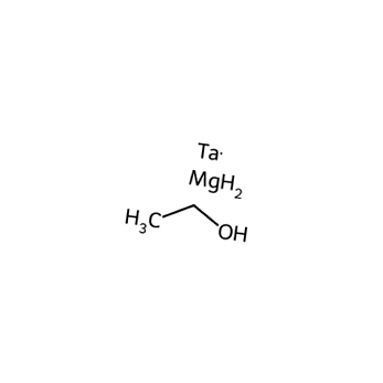 CCO.[MgH2].[Ta]